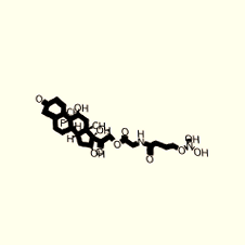 C[C@]12C=CC(=O)C=C1CC[C@H]1[C@@H]3C[C@@H](O)[C@](O)(C(=O)COC(=O)CNC(=O)CCCON(O)O)[C@@]3(C)C[C@H](O)[C@@]12F